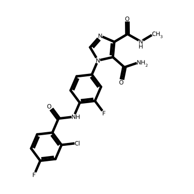 CNC(=O)c1ncn(-c2ccc(NC(=O)c3ccc(F)cc3Cl)c(F)c2)c1C(N)=O